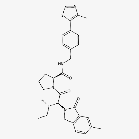 CC[C@H](C)[C@@H](C(=O)N1CCC[C@H]1C(=O)NCc1ccc(-c2scnc2C)cc1)N1Cc2ccc(C)cc2C1=O